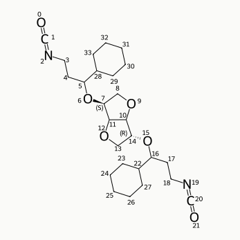 O=C=NCCC(O[C@H]1COC2C1OC[C@H]2OC(CCN=C=O)C1CCCCC1)C1CCCCC1